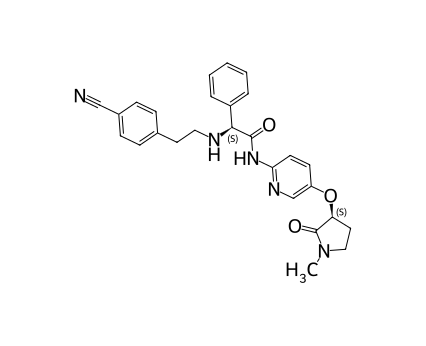 CN1CC[C@H](Oc2ccc(NC(=O)[C@@H](NCCc3ccc(C#N)cc3)c3ccccc3)nc2)C1=O